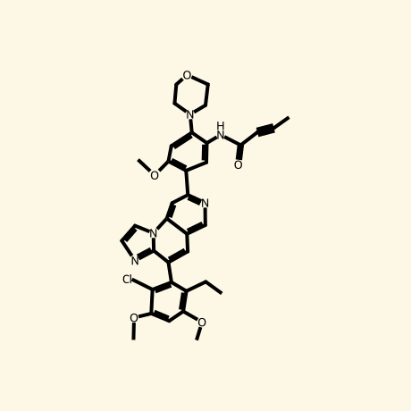 CC#CC(=O)Nc1cc(-c2cc3c(cn2)cc(-c2c(Cl)c(OC)cc(OC)c2CC)c2nccn23)c(OC)cc1N1CCOCC1